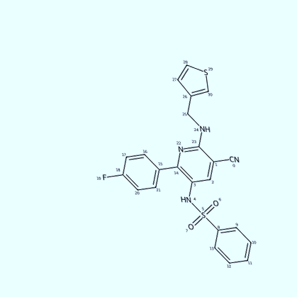 N#Cc1cc(NS(=O)(=O)c2ccccc2)c(-c2ccc(F)cc2)nc1NCc1ccsc1